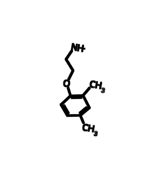 Cc1ccc(OCC[NH])c(C)c1